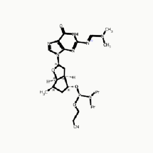 CC(C)N(C(C)C)P(OCCC#N)O[C@@H]1C[C@@H](C)[C@H]2O[C@@H](n3cnc4c(=O)[nH]c(/N=C/N(C)C)nc43)C[C@H]21